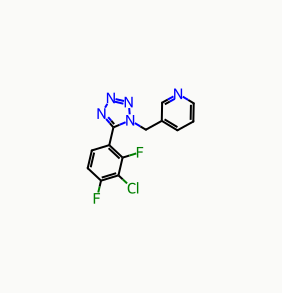 Fc1ccc(-c2nnnn2Cc2cccnc2)c(F)c1Cl